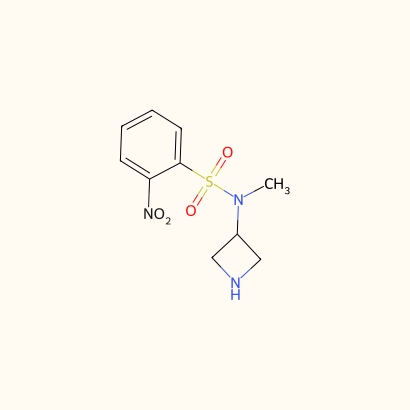 CN(C1CNC1)S(=O)(=O)c1ccccc1[N+](=O)[O-]